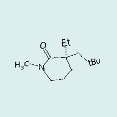 CC[C@]1(CC(C)(C)C)CCCN(C)C1=O